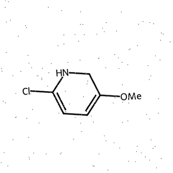 COC1=CC=C(Cl)NC1